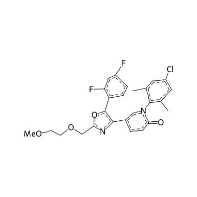 COCCOCc1nc(-c2ccc(=O)n(-c3c(C)cc(Cl)cc3C)c2)c(-c2ccc(F)cc2F)o1